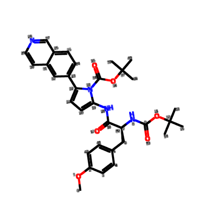 COc1ccc(C[C@H](NC(=O)OC(C)(C)C)C(=O)Nc2ccc(-c3ccc4cnccc4c3)n2C(=O)OC(C)(C)C)cc1